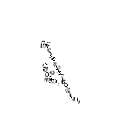 NCCOCCOCCOCCOCCOCCOCCOCCOCCOCCOCCOCCNC(=O)c1ccccc1.O=C(O)NCC1c2ccccc2-c2c(CO[C@@H]3CC/C=C/CCC3)cccc21